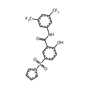 O=C(Nc1cc(C(F)(F)F)cc(C(F)(F)F)c1)c1cc(S(=O)(=O)n2cccc2)ccc1O